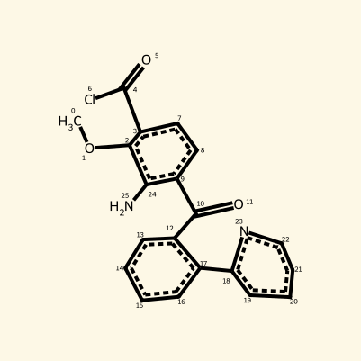 COc1c(C(=O)Cl)ccc(C(=O)c2ccccc2-c2ccccn2)c1N